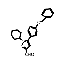 O=Cc1cc(-c2ccc(OCc3ccccc3)cc2)n(C2CCCCC2)n1